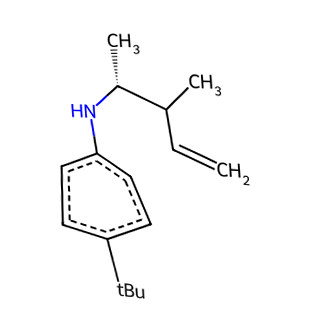 C=CC(C)[C@@H](C)Nc1ccc(C(C)(C)C)cc1